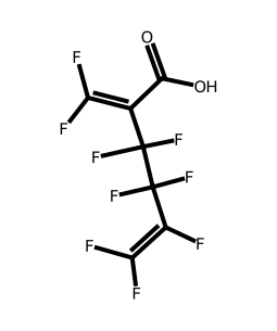 O=C(O)C(=C(F)F)C(F)(F)C(F)(F)C(F)=C(F)F